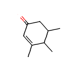 CC1=CC(=O)CC(C)C1C